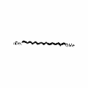 [CH2]CCCCCCCCCCCCCCCCCCCCCCCCOC